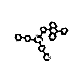 C1=C(c2nc(-c3ccc(-c4ccccc4)cc3)cc(-c3ccc(-c4cccnc4)cc3)n2)CCC=C1c1c2ccccc2c(-c2ccccc2)c2ccccc12